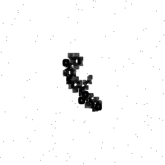 C=CCC/C(=N\OC(=O)C(C)(C)N1CCOCC1)c1ccc(Sc2ccc(C(=O)c3ccccc3C)cc2)cc1